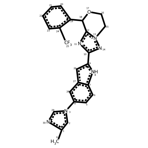 Cc1cn(-c2ccc3[nH]c(-c4nc5n(n4)CCOC5c4ccccc4C(F)(F)F)cc3c2)cn1